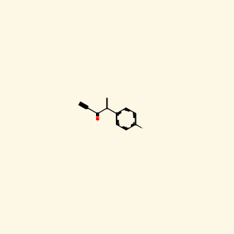 C#CC(=O)C(C)c1ccc(C(F)(F)F)cc1